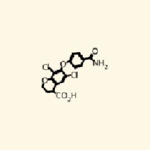 NC(=O)c1ccc(Oc2c(Cl)cc3c(c2Cl)OCCC3C(=O)O)cc1